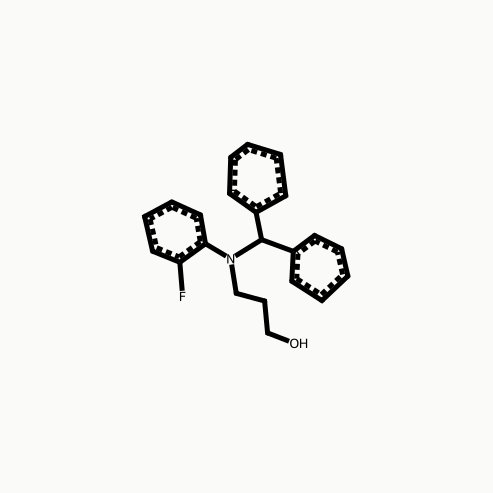 OCCCN(c1ccccc1F)C(c1ccccc1)c1ccccc1